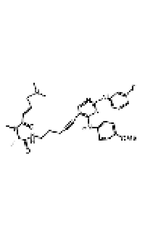 COc1ccc(Nc2nc(Nc3cccc(F)c3)ncc2C#CCCCNC(=O)[C@H](C)N(C)C(=O)C=CCN(C)C)cc1